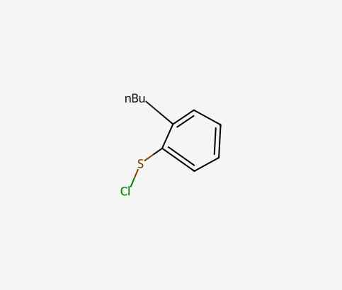 CCCCc1ccccc1SCl